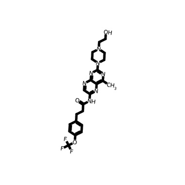 Cc1nc(N2CCN(CCO)CC2)nc2ncc(NC(=O)CCc3ccc(OC(F)(F)F)cc3)nc12